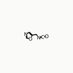 O=C=NCc1cnco1